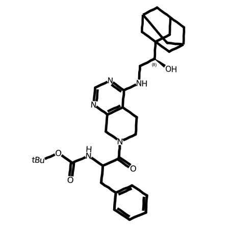 CC(C)(C)OC(=O)NC(Cc1ccccc1)C(=O)N1CCc2c(ncnc2NC[C@H](O)C23CC4CC(CC(C4)C2)C3)C1